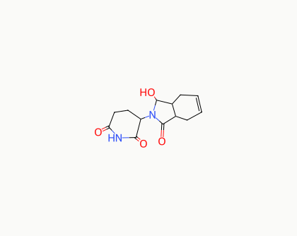 O=C1CCC(N2C(=O)C3CC=CCC3C2O)C(=O)N1